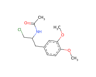 COc1ccc(CC(CCl)NC(C)=O)cc1OC